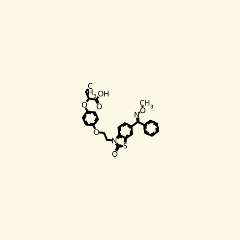 CCC(Oc1ccc(OCCn2c(=O)sc3cc(C(=NOC)c4ccccc4)ccc32)cc1)C(=O)O